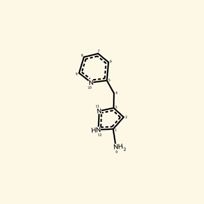 Nc1cc(Cc2ccccn2)n[nH]1